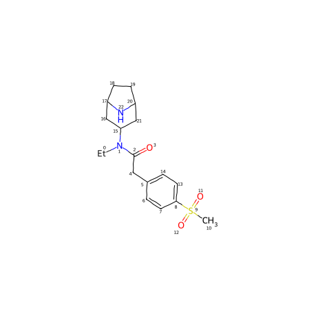 CCN(C(=O)Cc1ccc(S(C)(=O)=O)cc1)C1CC2CCC(C1)N2